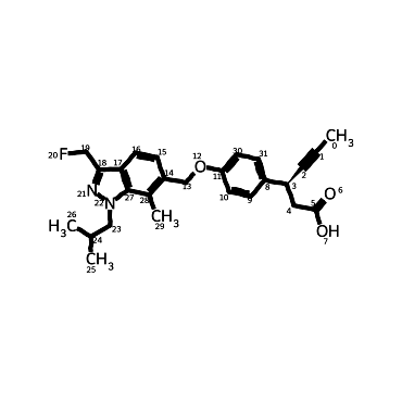 CC#C[C@@H](CC(=O)O)c1ccc(OCc2ccc3c(CF)nn(CC(C)C)c3c2C)cc1